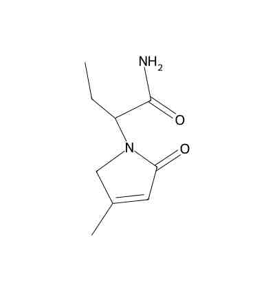 CCC(C(N)=O)N1CC(C)=CC1=O